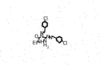 CCNC(=O)N(N=Cc1ccc(Cl)cc1)C(N)=NN=Cc1ccc(Cl)cc1